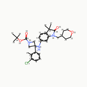 Cc1c(Cl)cccc1C1(Nc2ccc3c(c2)N(CC2CCOCC2)C(=O)C3(C)C)CN(C(=O)OC(C)(C)C)C1